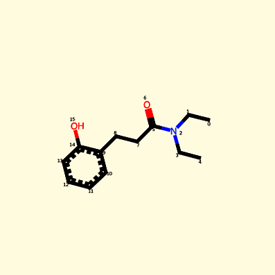 CCN(CC)C(=O)CCc1ccccc1O